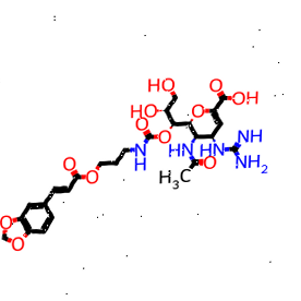 CC(=O)N[C@H]1[C@H]([C@H](OC(=O)NCCCOC(=O)/C=C/c2ccc3c(c2)OCO3)[C@H](O)CO)OC(C(=O)O)=C[C@@H]1NC(=N)N